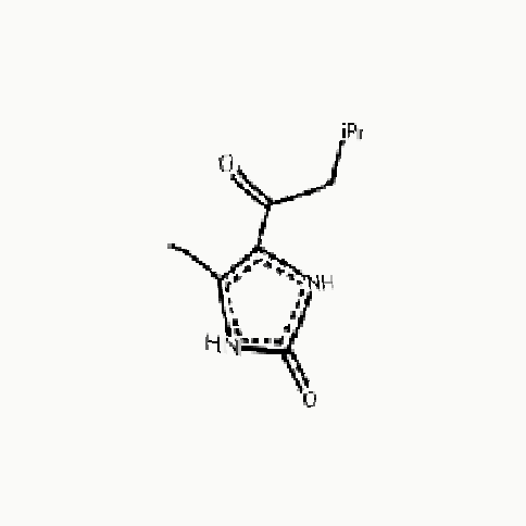 Cc1[nH]c(=O)[nH]c1C(=O)CC(C)C